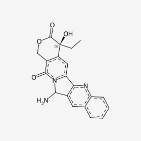 CC[C@@]1(O)C(=O)OCc2c1cc1n(c2=O)C(N)c2cc3ccccc3nc2-1